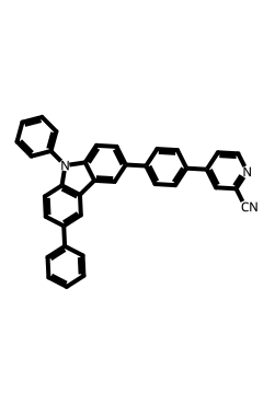 N#Cc1cc(-c2ccc(-c3ccc4c(c3)c3cc(-c5ccccc5)ccc3n4-c3ccccc3)cc2)ccn1